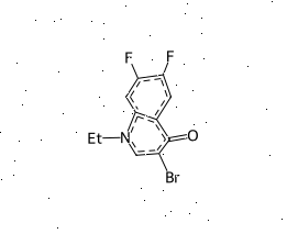 CCn1cc(Br)c(=O)c2cc(F)c(F)cc21